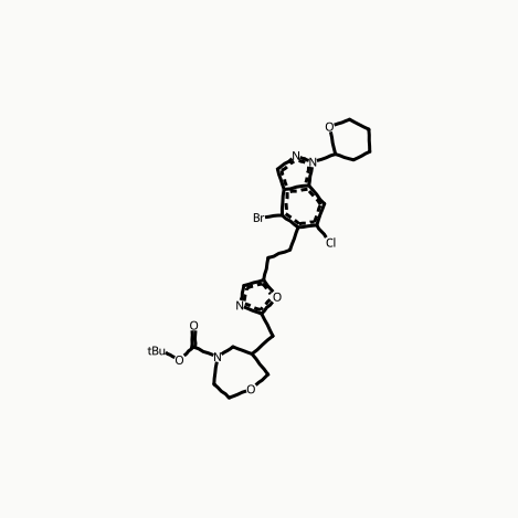 CC(C)(C)OC(=O)N1CCOCC(Cc2ncc(CCc3c(Cl)cc4c(cnn4C4CCCCO4)c3Br)o2)C1